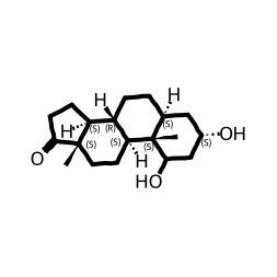 C[C@]12C(O)C[C@@H](O)C[C@@H]1CC[C@@H]1[C@@H]2CC[C@]2(C)C(=O)CC[C@@H]12